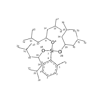 Cc1ccccc1[Si](OC(CC(C)C)CC(C)C)(OC(CC(C)C)CC(C)C)OC(CC(C)C)CC(C)C